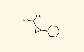 CC(C)C1CC1N1CCOCC1